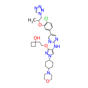 CC(Cn1cnnn1)Oc1cc(-c2cnc(Nc3cn(C4CCC(N5CCOCC5)CC4)nc3OCCC3(O)CCC3)nc2)ccc1Cl